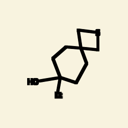 CCC1(O)CCC2(CC1)CSC2